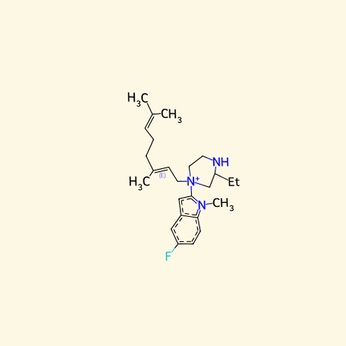 CCC1C[N+](C/C=C(\C)CCC=C(C)C)(c2cc3cc(F)ccc3n2C)CCN1